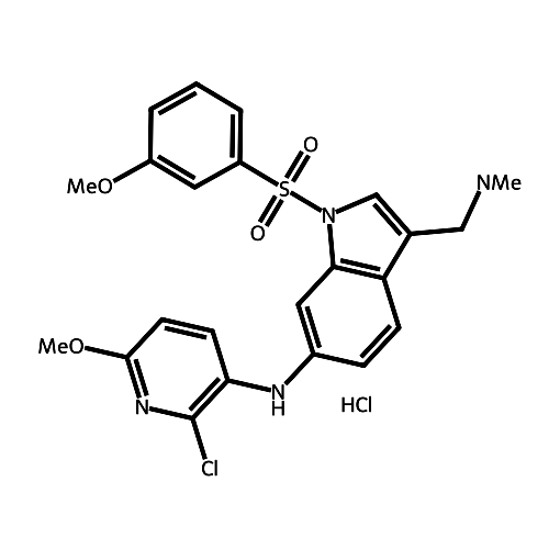 CNCc1cn(S(=O)(=O)c2cccc(OC)c2)c2cc(Nc3ccc(OC)nc3Cl)ccc12.Cl